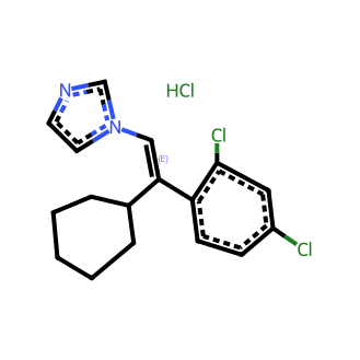 Cl.Clc1ccc(/C(=C/n2ccnc2)C2CCCCC2)c(Cl)c1